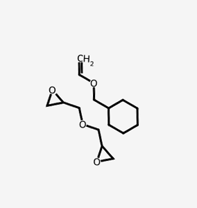 C(OCC1CO1)C1CO1.C=COCC1CCCCC1